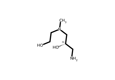 CN(CCO)C[C@@H](O)CN